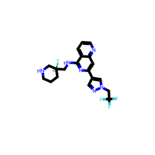 FC(F)(F)Cn1cc(-c2cc3ncccc3c(NC[C@]3(F)CCCNC3)n2)cn1